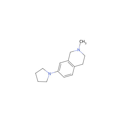 CN1CCc2ccc(N3CCCC3)cc2C1